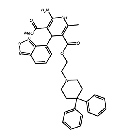 COC(=O)C1=C(N)NC(C)=C(C(=O)OCCN2CCC(c3ccccc3)(c3ccccc3)CC2)C1c1cccc2nonc12